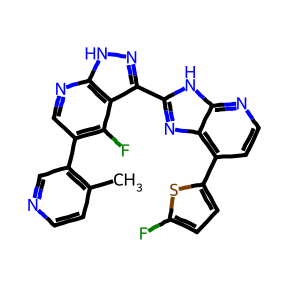 Cc1ccncc1-c1cnc2[nH]nc(-c3nc4c(-c5ccc(F)s5)ccnc4[nH]3)c2c1F